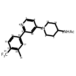 CC(=O)NC1CCN(c2ccnc(-c3ccc(C(F)(F)F)c(C)c3)c2)CC1